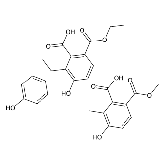 CCOC(=O)c1ccc(O)c(CC)c1C(=O)O.COC(=O)c1ccc(O)c(C)c1C(=O)O.Oc1ccccc1